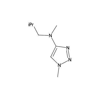 CC(C)CN(C)c1cn(C)nn1